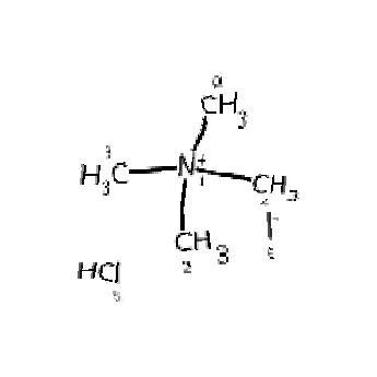 C[N+](C)(C)C.Cl.[I-]